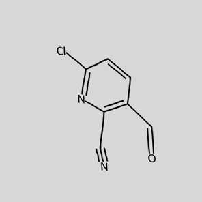 N#Cc1nc(Cl)ccc1C=O